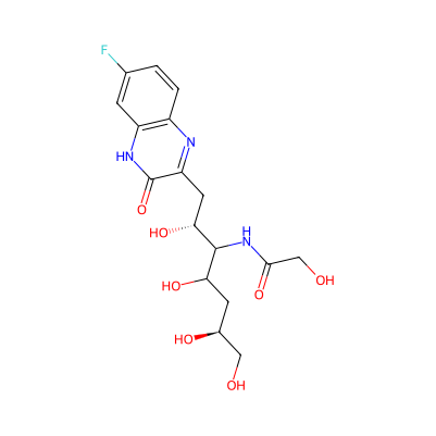 O=C(CO)NC(C(O)C[C@H](O)CO)[C@H](O)Cc1nc2ccc(F)cc2[nH]c1=O